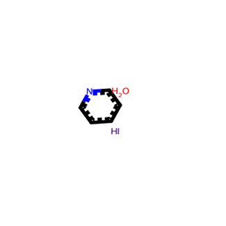 I.O.c1ccncc1